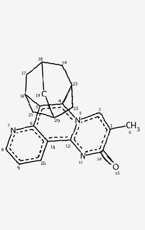 Cc1cn2c3c(c4ncccc4c2nc1=O)C1CC2CC(C1)CC3C2